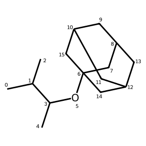 CC(C)C(C)OC12CC3CC(CC(C3)C1)C2